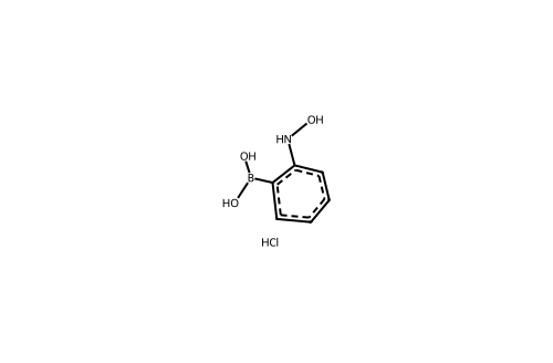 Cl.ONc1ccccc1B(O)O